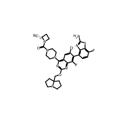 N#C[C@@H]1CCN1C(=O)N1CCN(c2nc(OCC34CCCN3CCC4)nc3c(F)c(-c4ccc(F)c5sc(N)nc45)c(Cl)cc23)CC1